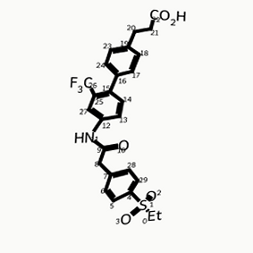 CCS(=O)(=O)c1ccc(CC(=O)Nc2ccc(-c3ccc(CCC(=O)O)cc3)c(C(F)(F)F)c2)cc1